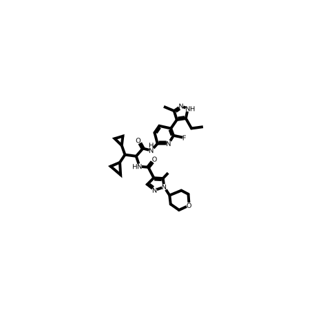 CCc1[nH]nc(C)c1-c1ccc(NC(=O)C(NC(=O)c2cnn(C3CCOCC3)c2C)C(C2CC2)C2CC2)nc1F